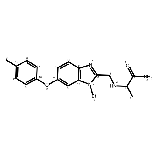 CCn1c(CNC(C)C(N)=O)nc2ccc(Oc3ccc(C)cc3)cc21